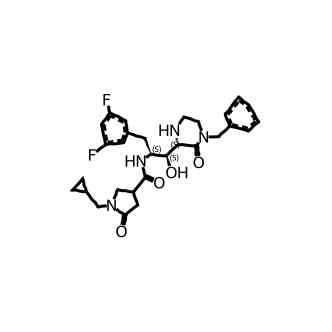 O=C(N[C@@H](Cc1cc(F)cc(F)c1)[C@H](O)[C@@H]1NCCN(Cc2ccccc2)C1=O)C1CC(=O)N(CC2CC2)C1